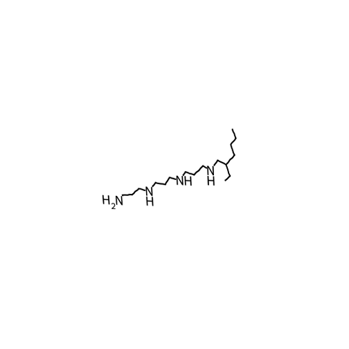 CCCCC(CC)CNCCCNCCCNCCCN